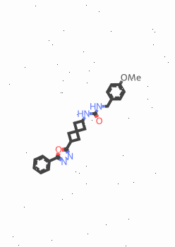 COc1ccc(CNC(=O)NC2CC3(C2)CC(c2nnc(-c4ccccc4)o2)C3)cc1